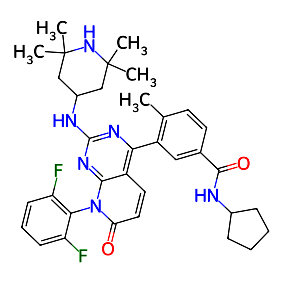 Cc1ccc(C(=O)NC2CCCC2)cc1-c1nc(NC2CC(C)(C)NC(C)(C)C2)nc2c1ccc(=O)n2-c1c(F)cccc1F